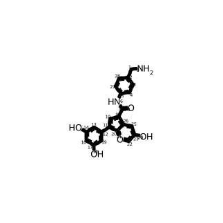 NCc1ccc(NC(=O)c2cc(-c3cc(O)cc(O)c3)c3occ(O)cc2-3)cc1